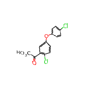 O=C(O)C(=O)c1cc(Oc2ccc(Cl)cc2)ccc1Cl